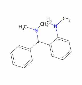 CN(C)[C](c1ccccc1)c1ccccc1N(C)C